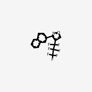 FC(F)(F)C(F)(F)C(F)(F)c1conc1-c1ccc2ccccc2c1